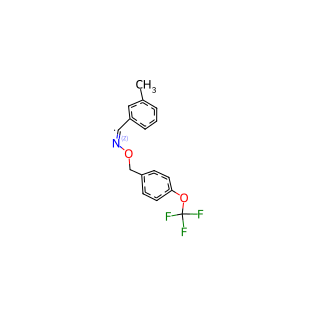 Cc1cccc(/[C]=N\OCc2ccc(OC(F)(F)F)cc2)c1